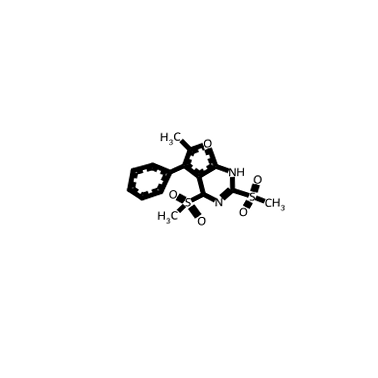 Cc1oc2c(c1-c1ccccc1)C(S(C)(=O)=O)N=C(S(C)(=O)=O)N2